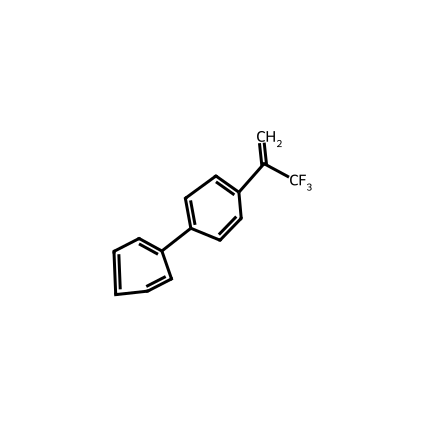 C=C(c1ccc(-c2ccccc2)cc1)C(F)(F)F